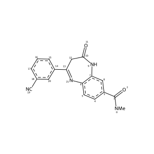 CNC(=O)c1ccc2c(c1)NC(=O)CC(c1cccc(C#N)c1)=N2